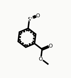 COC(=O)c1cccc([S+]=O)c1